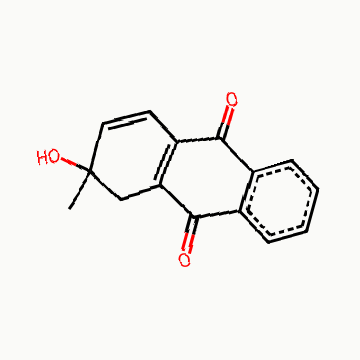 CC1(O)C=CC2=C(C1)C(=O)c1ccccc1C2=O